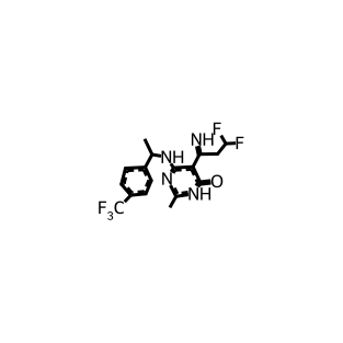 Cc1nc(NC(C)c2ccc(C(F)(F)F)cc2)c(C(=N)CC(F)F)c(=O)[nH]1